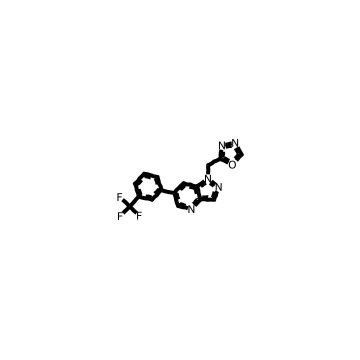 FC(F)(F)c1cccc(-c2cnc3cnn(Cc4nnco4)c3c2)c1